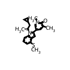 CSc1cccc2c1cc(-c1cc(C)c(=O)n(C)c1)n2[C@@H](C)CC1CC1